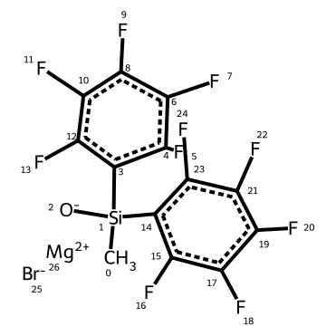 C[Si]([O-])(c1c(F)c(F)c(F)c(F)c1F)c1c(F)c(F)c(F)c(F)c1F.[Br-].[Mg+2]